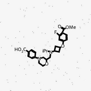 COC(=O)c1ccc(OC2CC(N(CC3CN(c4ccc(C(=O)O)cc4)CCO3)C(C)C)C2)cc1F